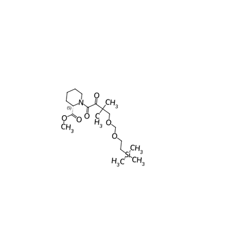 COC(=O)[C@@H]1CCCCN1C(=O)C(=O)C(C)(C)COCOCC[Si](C)(C)C